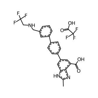 Cc1nc2c(C(=O)O)cc(-c3ccc(-c4cccc(CNCC(F)(F)F)c4)cc3)cc2[nH]1.O=C(O)C(F)(F)F